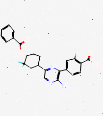 Nc1ncc(C2CC[C@@H](OC(=O)c3ccccc3)C(F)(F)C2)nc1-c1ccc(C(=O)O)c(F)c1